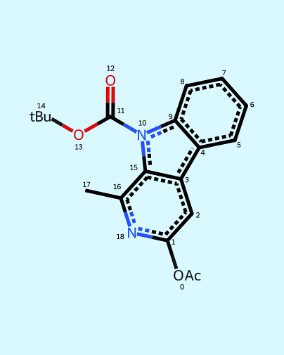 CC(=O)Oc1cc2c3ccccc3n(C(=O)OC(C)(C)C)c2c(C)n1